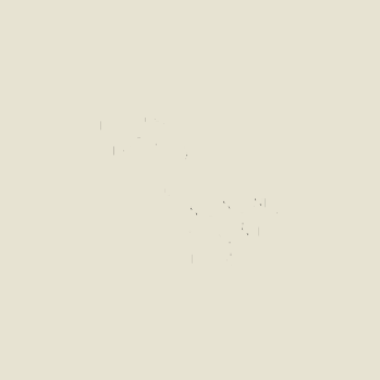 CC(C)(C)[Si](C)(C)OC[C@H]1OC(n2cc(I)c3c(=O)[nH]c(N)nc32)C[C@@H]1O